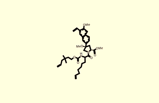 C=CCCCCCC(NC(=O)OCCC(C)(C)CC=C)C(=O)N1C[C@](OC)(c2ccc3cc(OC)c(C=C)cc3c2)C[C@H]1C(=O)OC